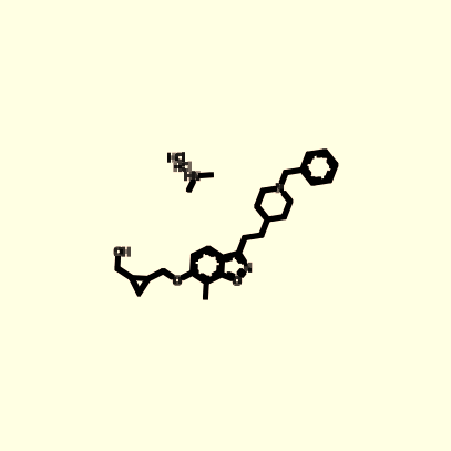 CNC.Cc1c(OCC2CC2CO)ccc2c(CCC3CCN(Cc4ccccc4)CC3)noc12.Cl.Cl